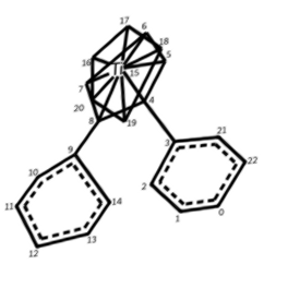 c1ccc([C]23[CH]4[CH]5[CH]6[C]2(c2ccccc2)[Ti]54632789[CH]3[CH]2[CH]7[CH]8[CH]39)cc1